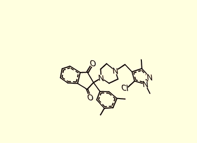 Cc1cc(C)cc(C2(N3CCN(Cc4c(C)nn(C)c4Cl)CC3)C(=O)c3ccccc3C2=O)c1